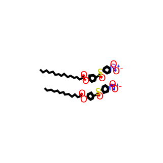 CCCCCCCCCCCCC(=O)Oc1ccc(C(=O)Sc2ccc([N+](=O)[O-])cc2)cc1.CCCCCCCCCCCCCCC(=O)Oc1ccc(C(=O)Sc2ccc([N+](=O)[O-])cc2)cc1